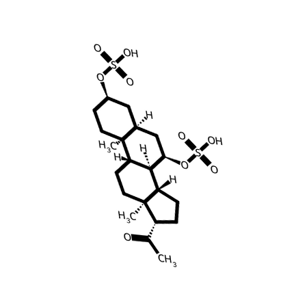 CC(=O)[C@H]1CC[C@H]2[C@@H]3[C@H](OS(=O)(=O)O)C[C@@H]4C[C@H](OS(=O)(=O)O)CC[C@]4(C)[C@H]3CC[C@]12C